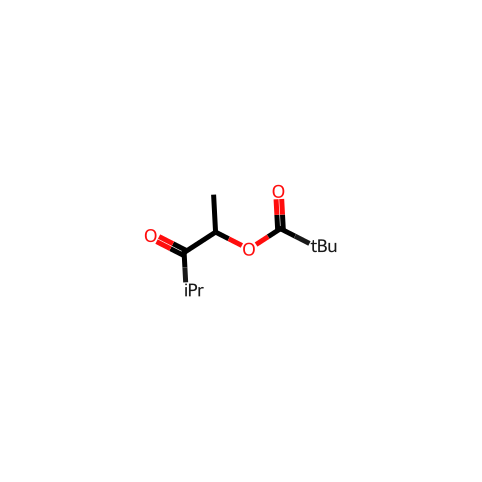 CC(C)C(=O)C(C)OC(=O)C(C)(C)C